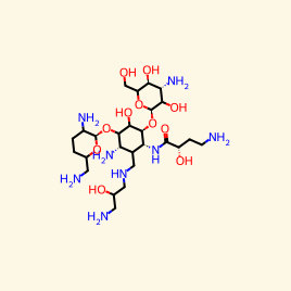 NCC[C@H](O)C(=O)N[C@@H]1C(CNCC(O)CN)[C@H](N)C(O[C@H]2OC(CN)CCC2N)C(O)[C@H]1O[C@H]1OC(CO)[C@@H](O)[C@H](N)C1O